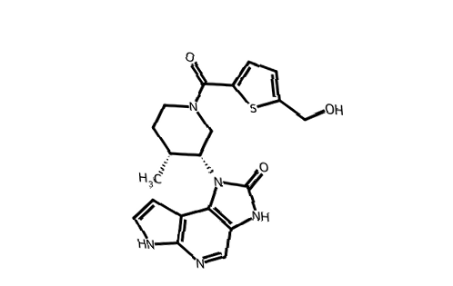 C[C@@H]1CCN(C(=O)c2ccc(CO)s2)C[C@@H]1n1c(=O)[nH]c2cnc3[nH]ccc3c21